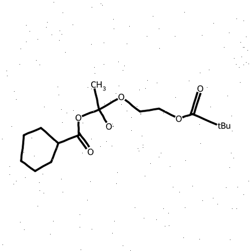 CC([O])(OCCOC(=O)C(C)(C)C)OC(=O)C1CCCCC1